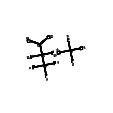 FC(F)(Cl)Cl.FC(F)(F)C(F)(F)C(Cl)Cl